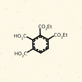 CCOC(=O)c1ccc(C(=O)O)c(C(=O)O)c1C(=O)OCC